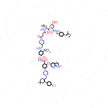 Cc1ncsc1-c1ccc(CNC(=O)[C@@H]2C[C@@H](O)CN2C(=O)[C@@H](NC(=O)CCC(=O)N2CCC(CNc3ccc(S(=O)(=O)NC(=O)c4ccc(N5CCN(CC6=C(c7ccc(Cl)cc7)CC(C)(C)CC6)CC5)cc4Oc4cnc5[nH]ccc5c4)cc3[N+](=O)[O-])CC2)C(C)(C)C)cc1